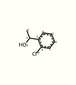 CC(O)c1[c]cccc1Cl